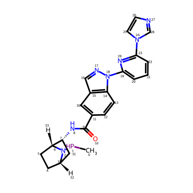 CPN1[C@H]2CC[C@@H]1[C@H](NC(=O)c1ccc3c(cnn3-c3cccc(-n4ccnc4)n3)c1)C2